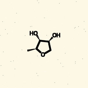 C[C@H]1OC[C@@H](O)[C@H]1O